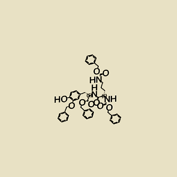 O=C(NCCC[C@H](NC(=O)OCc1ccccc1)C(=O)N[C@@H](Cc1ccc(O)c(OCc2ccccc2)c1)C(=O)OCc1ccccc1)OCc1ccccc1